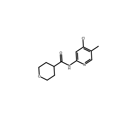 Cc1cnc(NC(=O)C2CCOCC2)cc1Cl